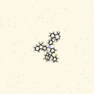 CC1(C)CCC(C)(C)c2c(-c3ccc(N(c4ccc5c(c4)C(C)(C)c4ccccc4-5)c4ccc5c(c4)C4(c6ccccc6S5)C5CC6CC7CC4C75C6)cc3)cccc21